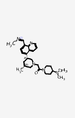 C/N=C\c1ccc([C@H]2C[C@@H](C)CN(CC(=O)N3CCC(N(C)C)CC3)C2)c2cccnc12